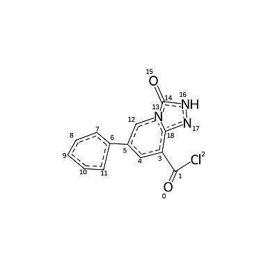 O=C(Cl)c1cc(-c2ccccc2)cn2c(=O)[nH]nc12